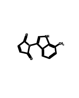 Cc1cccc2c(N3C(=O)C=CC3=O)c[nH]c12